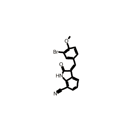 COc1ccc(/C=C2\C(=O)Nc3c(C#N)cccc32)cc1Br